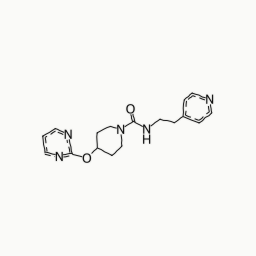 O=C(NCCc1ccncc1)N1CCC(Oc2ncccn2)CC1